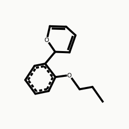 CCCOc1ccccc1[C]1C=CC=CO1